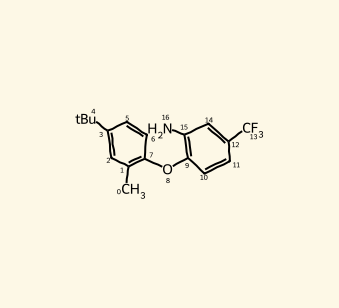 Cc1cc(C(C)(C)C)ccc1Oc1ccc(C(F)(F)F)cc1N